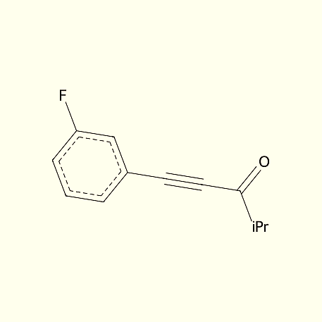 CC(C)C(=O)C#Cc1cccc(F)c1